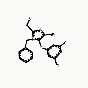 CC(C)c1nc(CCl)n(Cc2ccccc2)c1Sc1cc(Cl)cc(Cl)c1